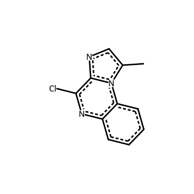 Cc1cnc2c(Cl)nc3ccccc3n12